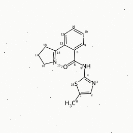 Cc1cnc(NC(=O)c2ccccc2C2=NCCC2)s1